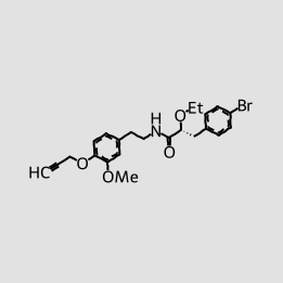 C#CCOc1ccc(CCNC(=O)[C@@H](Cc2ccc(Br)cc2)OCC)cc1OC